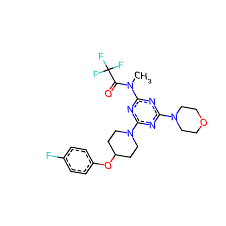 CN(C(=O)C(F)(F)F)c1nc(N2CCOCC2)nc(N2CCC(Oc3ccc(F)cc3)CC2)n1